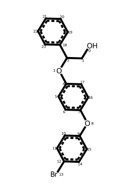 OCC(Oc1ccc(Oc2ccc(Br)cc2)cc1)c1ccccc1